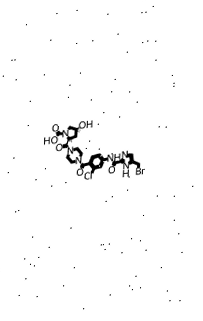 O=C(Nc1ccc(C(=O)N2CCN(C(=O)[C@@H]3C[C@@H](O)CN3C(=O)O)CC2)c(Cl)c1)c1ncc(CBr)[nH]1